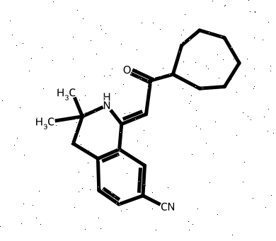 CC1(C)Cc2ccc(C#N)cc2/C(=C/C(=O)C2CCCCCC2)N1